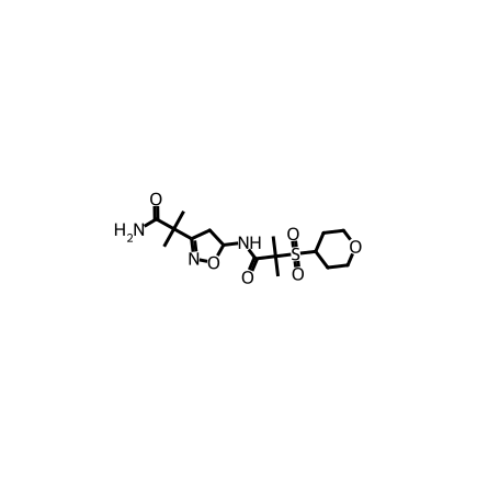 CC(C)(C(N)=O)C1=NOC(NC(=O)C(C)(C)S(=O)(=O)C2CCOCC2)C1